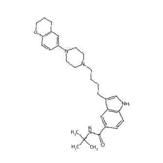 CC(C)(C)NC(=O)c1ccc2[nH]cc(CCCCN3CCN(c4ccc5c(c4)CCCO5)CC3)c2c1